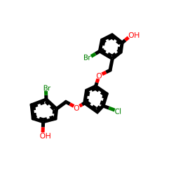 Oc1ccc(Br)c(COc2cc(Cl)cc(OCc3cc(O)ccc3Br)c2)c1